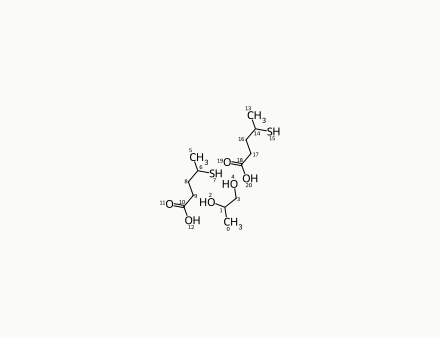 CC(O)CO.CC(S)CCC(=O)O.CC(S)CCC(=O)O